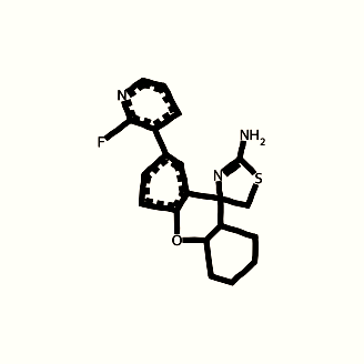 NC1=NC2(CS1)c1cc(-c3cccnc3F)ccc1OC1CCCCC12